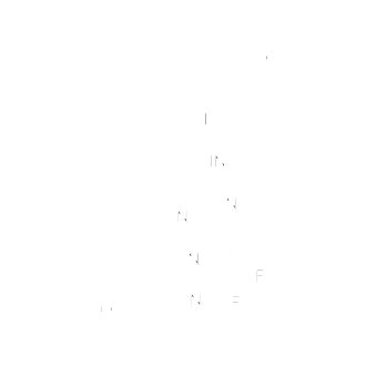 COc1ccc2c(c1)nc(C(F)(F)F)n2-c1cnc(NC(=O)c2ccc(Cl)cc2F)cn1